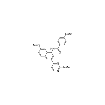 CNc1nccc(-c2cc(NC(=O)c3ccc(OC)cc3)c3cc(OC)ccc3c2)n1